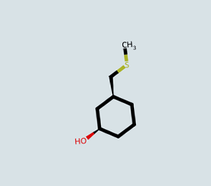 CSC[C@H]1CCC[C@@H](O)C1